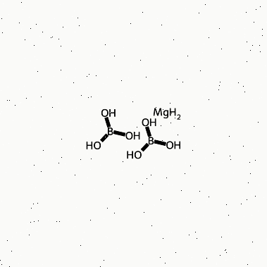 OB(O)O.OB(O)O.[MgH2]